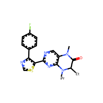 CCC1C(=O)N(C)c2cnc(-c3scnc3-c3ccc(F)cc3)nc2N1C(C)C